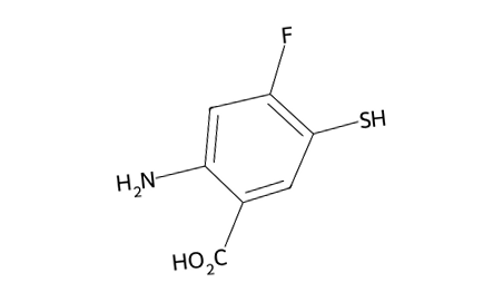 Nc1cc(F)c(S)cc1C(=O)O